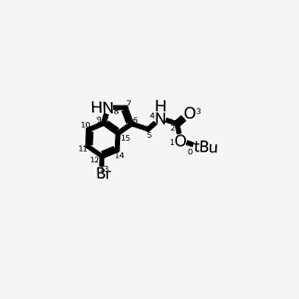 CC(C)(C)OC(=O)NCc1c[nH]c2ccc(Br)cc12